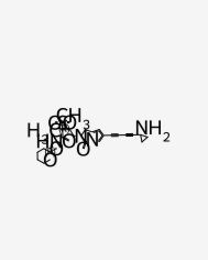 C[C@@](CCN1Cc2cc(C#CC#CC3(N)CC3)cn2C1=O)(C(=O)NO[C@@H]1CCCCO1)S(C)(=O)=O